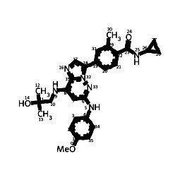 COc1ccc(Nc2cc(NCC(C)(C)O)c3ncc(-c4ccc(C(=O)NC5CC5)c(C)c4)n3n2)cc1